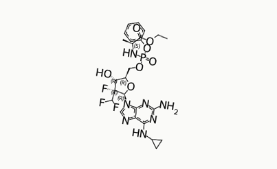 CCOC(=O)[C@H](C)NP(=O)(OC[C@H]1O[C@@H](n2cnc3c(NC4CC4)nc(N)nc32)[C@@](F)(C(F)F)[C@@H]1O)Oc1ccccc1